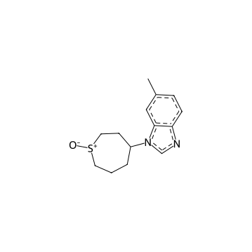 Cc1ccc2ncn(C3CCC[S+]([O-])CC3)c2c1